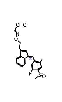 Cc1cc([S+](C)[O-])c(F)cc1/C=C1/C=C(CCON=CC=O)c2ccccc21